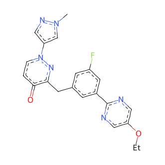 CCOc1cnc(-c2cc(F)cc(Cc3nn(-c4cnn(C)c4)ccc3=O)c2)nc1